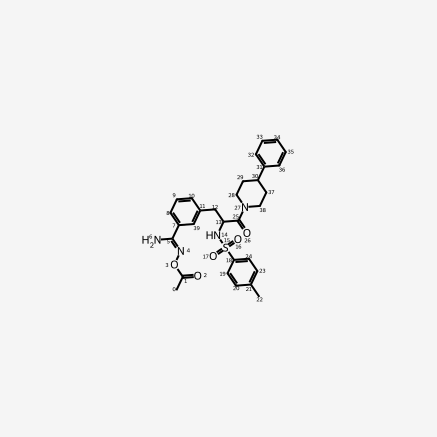 CC(=O)ON=C(N)c1cccc(CC(NS(=O)(=O)c2ccc(C)cc2)C(=O)N2CCC(c3ccccc3)CC2)c1